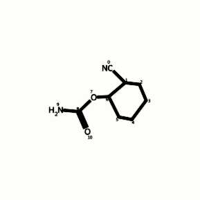 N#CC1CCCCC1OC(N)=O